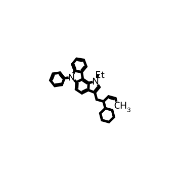 C/C=C\C(Cc1cn(CC)c2c1ccc1c2c2ccccc2n1-c1ccccc1)C1CCCCC1